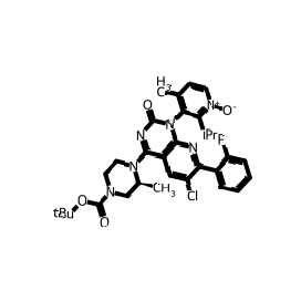 Cc1cc[n+]([O-])c(C(C)C)c1-n1c(=O)nc(N2CCN(C(=O)OC(C)(C)C)C[C@@H]2C)c2cc(Cl)c(-c3ccccc3F)nc21